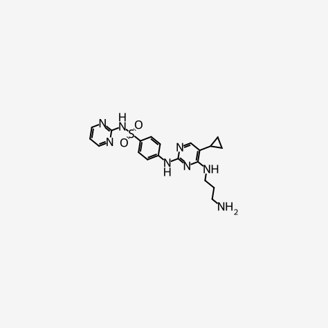 NCCCNc1nc(Nc2ccc(S(=O)(=O)Nc3ncccn3)cc2)ncc1C1CC1